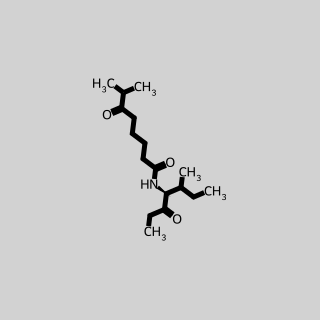 CCC(=O)[C@@H](NC(=O)CCCCC(=O)C(C)C)C(C)CC